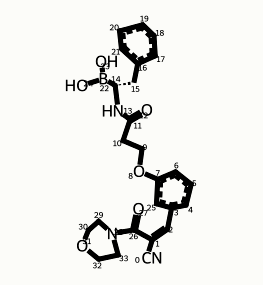 N#CC(=Cc1cccc(OCCC(=O)N[C@@H](Cc2ccccc2)B(O)O)c1)C(=O)N1CCOCC1